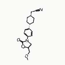 COCC1CN(c2ccc([C@H]3CC[C@H](CC#N)CC3)cc2)C(=O)O1